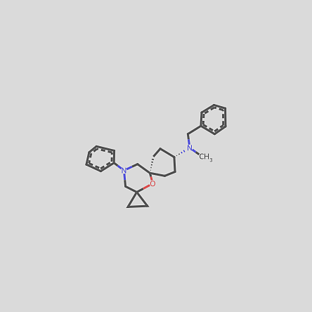 CN(Cc1ccccc1)[C@H]1CC[C@@]2(CC1)CN(c1ccccc1)CC1(CC1)O2